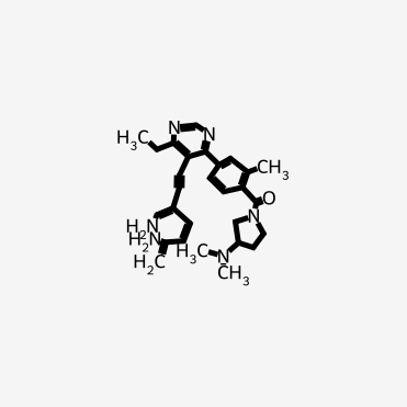 C=C(N)/C=C\C(C#Cc1c(CC)ncnc1-c1ccc(C(=O)N2CCC(N(C)C)C2)c(C)c1)=C/N